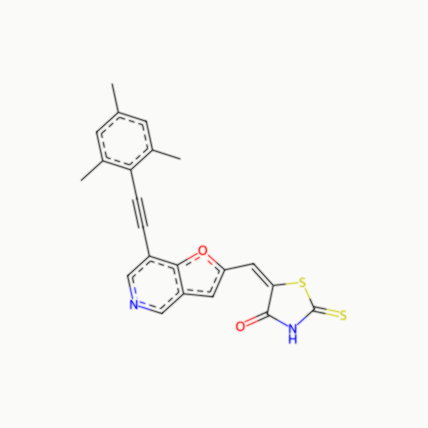 Cc1cc(C)c(C#Cc2cncc3cc(/C=C4/SC(=S)NC4=O)oc23)c(C)c1